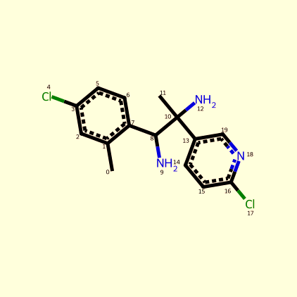 Cc1cc(Cl)ccc1C(N)C(C)(N)c1ccc(Cl)nc1